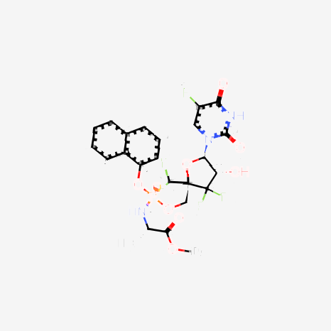 CC(C)OC(=O)[C@H](C)NP(=O)(OC[C@@]1(C(F)F)O[C@@H](n2cc(F)c(=O)[nH]c2=O)[C@H](O)C1(F)F)Oc1cccc2ccccc12